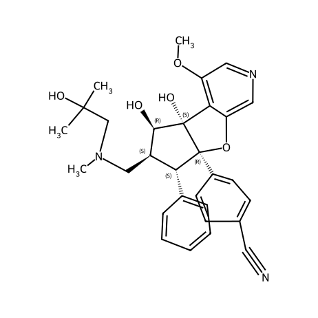 COc1cncc2c1[C@]1(O)[C@H](O)[C@H](CN(C)CC(C)(C)O)[C@@H](c3ccccc3)[C@]1(c1ccc(C#N)cc1)O2